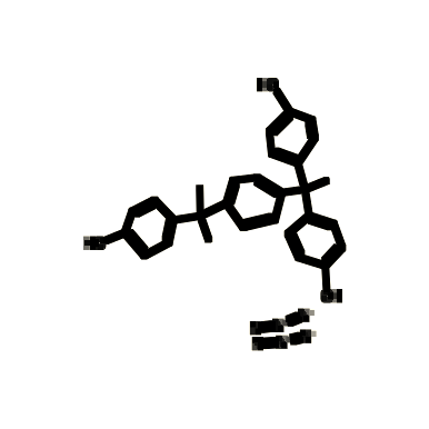 CC(C)(c1ccc(O)cc1)c1ccc(C(C)(c2ccc(O)cc2)c2ccc(O)cc2)cc1.[N-]=[N+]=[N-].[N-]=[N+]=[N-]